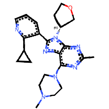 Cc1nc(N2CCN(C)CC2)c2nc(-c3cccnc3C3CC3)n([C@@H]3CCOC3)c2n1